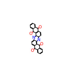 O=c1c2ccccc2c(=O)c2c1ccc1nc3c(ccc4c(=O)c5ccccc5c(=O)c43)nc12